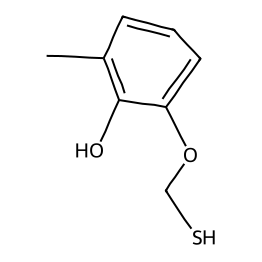 Cc1cccc(OCS)c1O